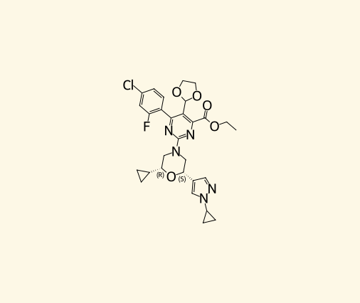 CCOC(=O)c1nc(N2C[C@@H](C3CC3)O[C@@H](c3cnn(C4CC4)c3)C2)nc(-c2ccc(Cl)cc2F)c1C1OCCO1